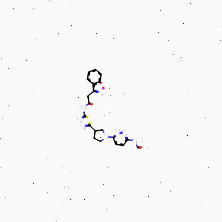 O=CNc1ccc(N2CCC(c3nnc(NC(=O)Cc4noc5ccccc45)s3)C2)nn1